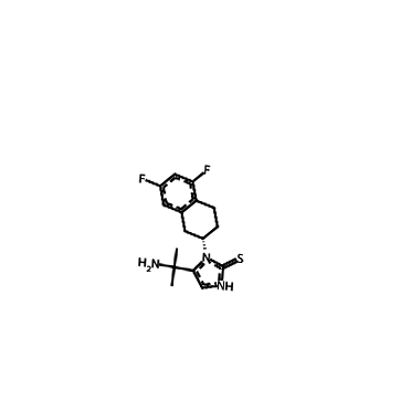 CC(C)(N)c1c[nH]c(=S)n1[C@H]1CCc2c(F)cc(F)cc2C1